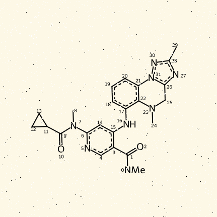 CNC(=O)c1cnc(N(C)C(=O)C2CC2)cc1Nc1cccc2c1N(C)Cc1nc(C)nn1-2